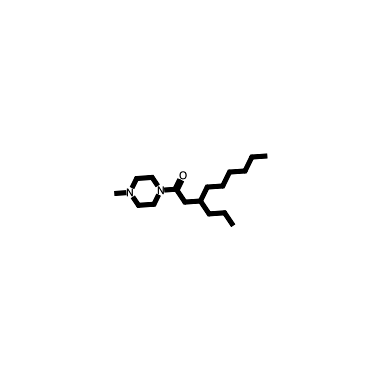 CCCCCCC(CCC)CC(=O)N1CCN(C)CC1